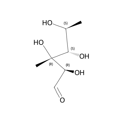 C[C@H](O)[C@H](O)[C@@](C)(O)[C@@H](O)C=O